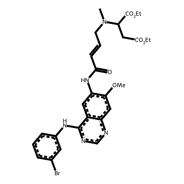 CCOC(=O)CC(C(=O)OCC)N(C)CC=CC(=O)Nc1cc2c(Nc3cccc(Br)c3)ncnc2cc1OC